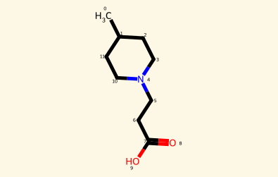 CC1CCN(CCC(=O)O)CC1